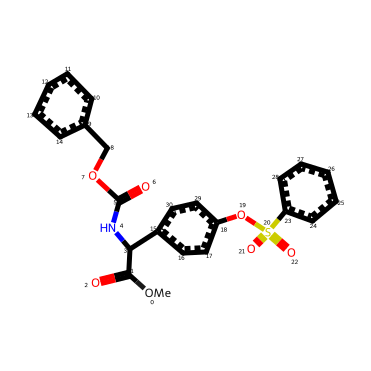 COC(=O)C(NC(=O)OCc1ccccc1)c1ccc(OS(=O)(=O)c2ccccc2)cc1